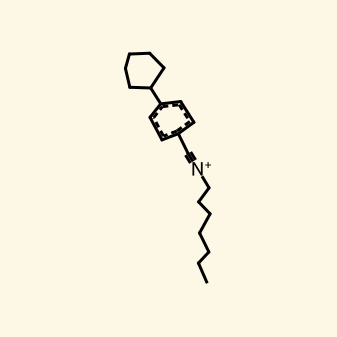 CCCCCCC[N+]#Cc1ccc(C2CCCCC2)cc1